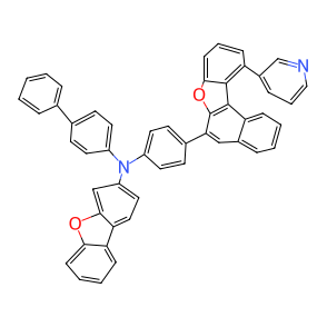 c1ccc(-c2ccc(N(c3ccc(-c4cc5ccccc5c5c4oc4cccc(-c6cccnc6)c45)cc3)c3ccc4c(c3)oc3ccccc34)cc2)cc1